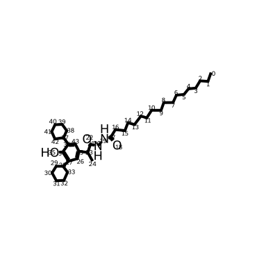 CCCCCCCCCCCCCCCCCC(=O)NNC(=O)C(C)c1cc(C2CCCCC2)c(O)c(C2CCCCC2)c1